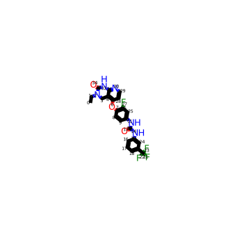 CCN1Cc2c(Oc3ccc(NC(=O)Nc4cccc(C(F)(F)F)c4)cc3F)ccnc2NC1=O